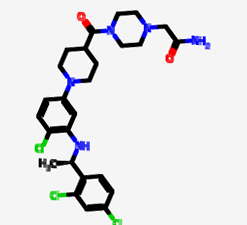 C[C@@H](Nc1cc(N2CCC(C(=O)N3CCN(CC(N)=O)CC3)CC2)ccc1Cl)c1ccc(Cl)cc1Cl